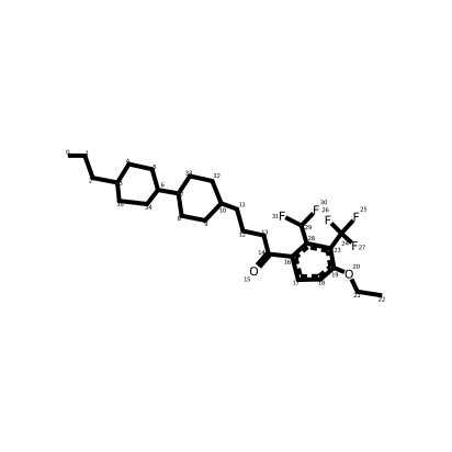 CCCC1CCC(C2CCC(CCCC(=O)c3ccc(OCC)c(C(F)(F)F)c3C(F)F)CC2)CC1